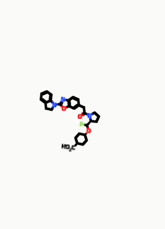 O=C(Cc1ccc2nc(N3CCc4ccccc43)oc2c1)N1CCC[C@H]1C(F)O[C@H]1CC[C@H](C(=O)O)CC1